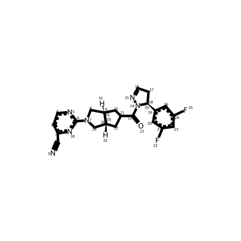 N#Cc1ccnc(N2C[C@H]3CC(C(=O)N4N=CC[C@H]4c4cc(F)cc(F)c4)C[C@@H]3C2)n1